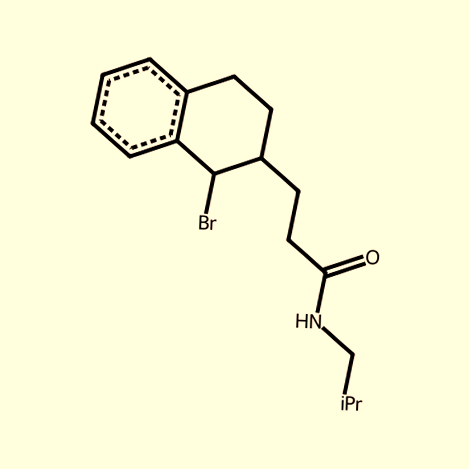 CC(C)CNC(=O)CCC1CCc2ccccc2C1Br